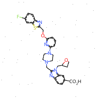 O=C(O)c1ccc2nc(CN3CCN(c4cccc(OCc5nc6ccc(F)cc6s5)n4)CC3)n(CC3CCO3)c2c1